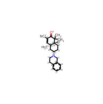 CC1(C)C(=O)C(C#N)=C[C@]2(C)C[C@@H](N3CCc4ccccc4C3)CC[C@@H]12